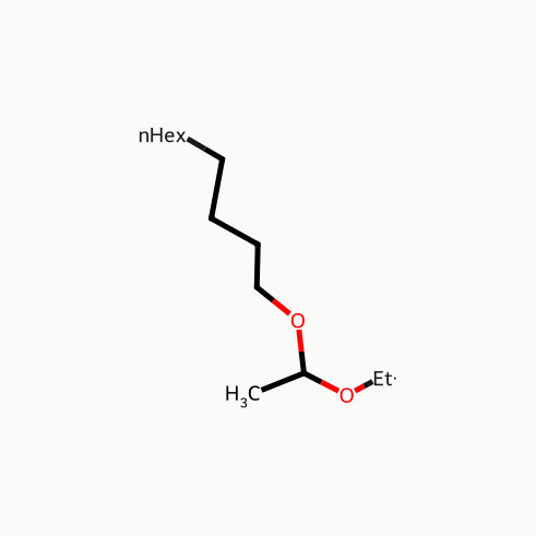 C[CH]OC(C)OCCCCCCCCCC